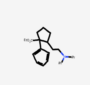 CCOC(=O)C1(c2ccccc2)CCCC1CCN(C(C)C)C(C)C